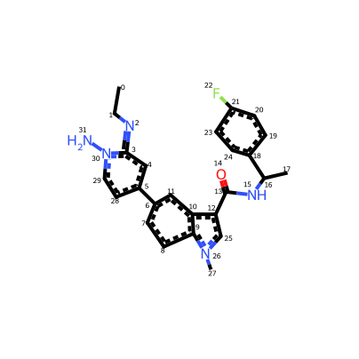 CC/N=c1/cc(-c2ccc3c(c2)c(C(=O)NC(C)c2ccc(F)cc2)cn3C)ccn1N